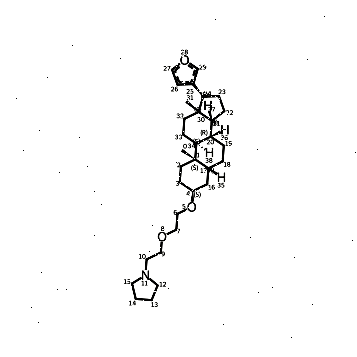 C[C@]12CC[C@H](OCCOCCN3CCCC3)C[C@H]1CC[C@H]1[C@H]3CC[C@H](c4ccoc4)[C@@]3(C)CC[C@@H]12